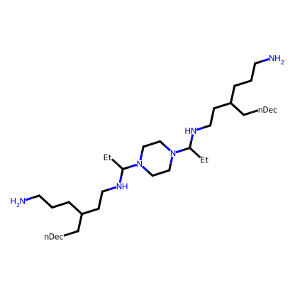 CCCCCCCCCCCC(CCCN)CCNC(CC)N1CCN(C(CC)NCCC(CCCN)CCCCCCCCCCC)CC1